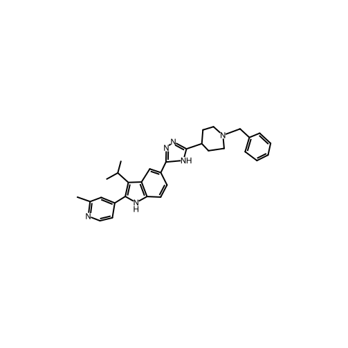 Cc1cc(-c2[nH]c3ccc(-c4nnc(C5CCN(Cc6ccccc6)CC5)[nH]4)cc3c2C(C)C)ccn1